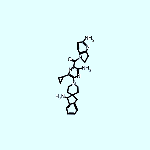 Nc1ccc2c(n1)CCN2C(=O)c1nc(C2CC2)c(N2CCC3(CC2)Cc2ccccc2C3N)nc1N